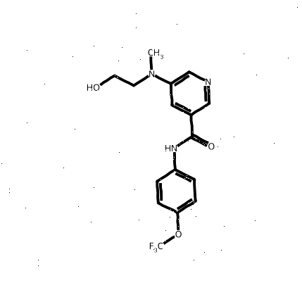 CN(CCO)c1cncc(C(=O)Nc2ccc(OC(F)(F)F)cc2)c1